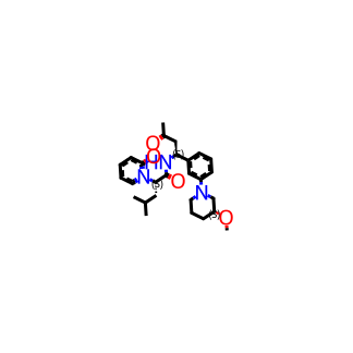 CO[C@H]1CCCN(c2cccc([C@H](CC(C)=O)NC(=O)[C@H](CC(C)C)n3ccccc3=O)c2)C1